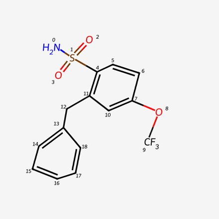 NS(=O)(=O)c1ccc(OC(F)(F)F)cc1Cc1ccccc1